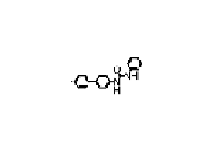 O=C(Nc1ccccc1)Nc1ccc(-c2cc[c]cc2)cc1